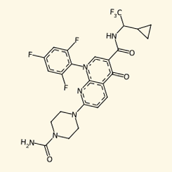 NC(=O)N1CCN(c2ccc3c(=O)c(C(=O)NC(C4CC4)C(F)(F)F)cn(-c4c(F)cc(F)cc4F)c3n2)CC1